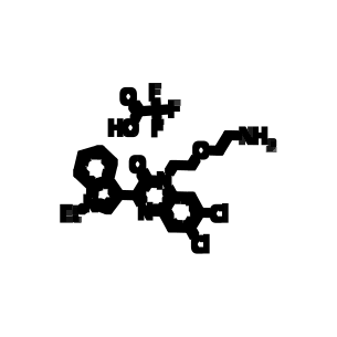 CCn1cc(-c2nc3cc(Cl)c(Cl)cc3n(CCOCCN)c2=O)c2ccccc21.O=C(O)C(F)(F)F